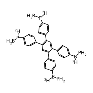 [2H]B(P)c1ccc(-c2cc(-c3ccc(P([2H])B)cc3)c(-c3ccc(P([2H])B)cc3)cc2-c2ccc(B([2H])P)cc2)cc1